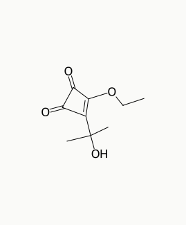 CCOc1c(C(C)(C)O)c(=O)c1=O